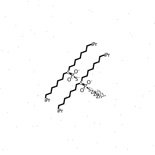 CC(C)CCCCCCCS(CCCCCCCC(C)C)=P([O-])([O-])[S-].CC(C)CCCCCCCS(CCCCCCCC(C)C)=P([O-])([O-])[S-].[Zn+2].[Zn+2].[Zn+2]